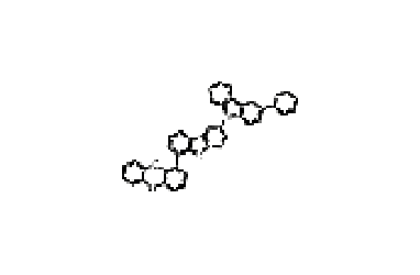 c1ccc(-c2ccc3c(c2)c2ccccc2n3-c2ccc3oc4c(-c5cccc6c5Oc5ccccc5O6)cccc4c3c2)cc1